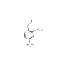 [CH2]CCc1cc(S(N)(=O)=O)ccc1CCC